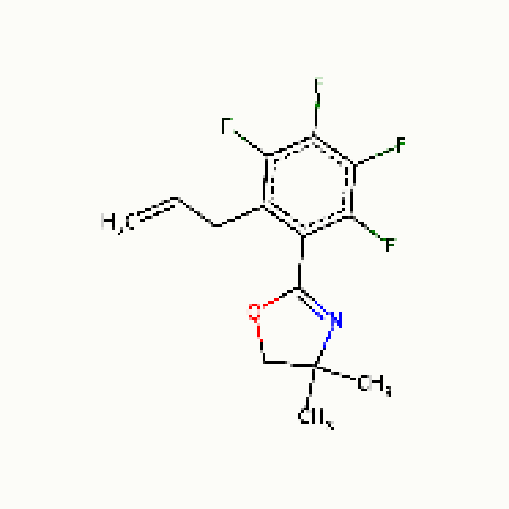 C=CCc1c(F)c(F)c(F)c(F)c1C1=NC(C)(C)CO1